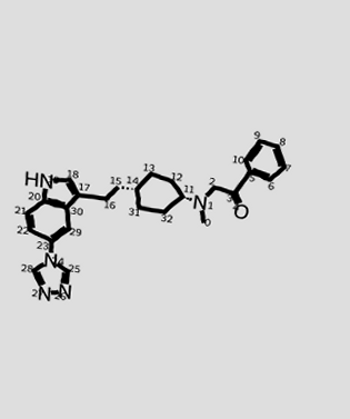 CN(CC(=O)c1ccccc1)[C@H]1CC[C@@H](CCc2c[nH]c3ccc(-n4cnnc4)cc23)CC1